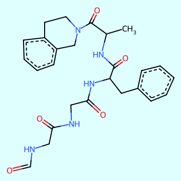 CC(NC(=O)C(Cc1ccccc1)NC(=O)CNC(=O)CNC=O)C(=O)N1CCc2ccccc2C1